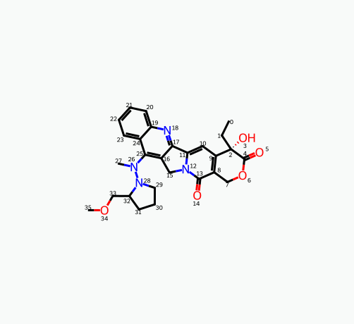 CC[C@@]1(O)C(=O)OCc2c1cc1n(c2=O)Cc2c-1nc1ccccc1c2N(C)N1CCCC1COC